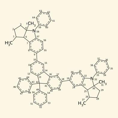 CC1CCC2(C)C1c1cc(-c3ccc4c(c3)-c3cc(-c5ccc6c(c5)C5C(C)CCC5(C)N6c5ccccc5)ccc3C4(c3ccccc3)c3ccccc3)ccc1N2c1ccccc1